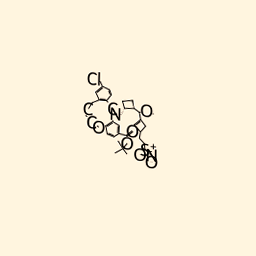 CO[C@@H](C1=CC(CC[S+]([O-])N=O)C1)[C@@H]1CC[C@H]1CN1Cc2ccc(Cl)cc2CCCCOc2ccc(C(=O)OC(C)(C)C)cc21